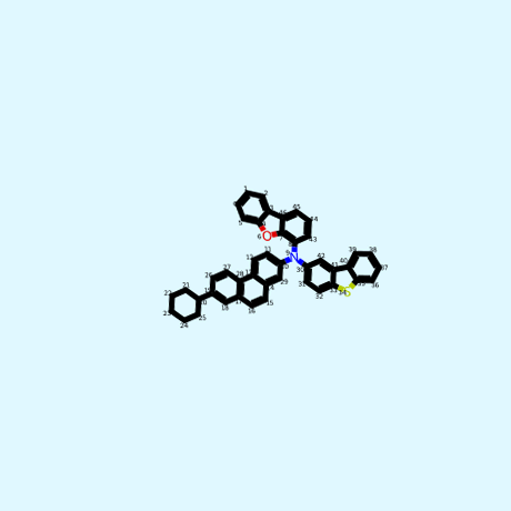 c1ccc2c(c1)oc1c(N(c3ccc4c(ccc5cc(C6CCCCC6)ccc54)c3)c3ccc4sc5ccccc5c4c3)cccc12